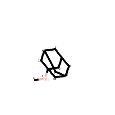 CBC12CC3CC(CC(C3)C1)C2